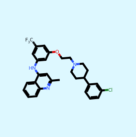 Cc1cc(Nc2cc(OCCN3CCC(c4cccc(Cl)c4)CC3)cc(C(F)(F)F)c2)c2ccccc2n1